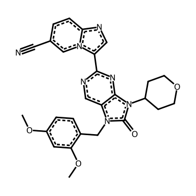 COc1ccc(Cn2c(=O)n(C3CCOCC3)c3nc(-c4cnc5ccc(C#N)cn45)ncc32)c(OC)c1